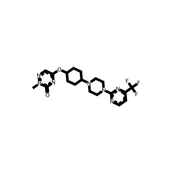 Cn1ncc(OC2CCC(N3CCN(c4nccc(C(F)(F)F)n4)CC3)CC2)nc1=O